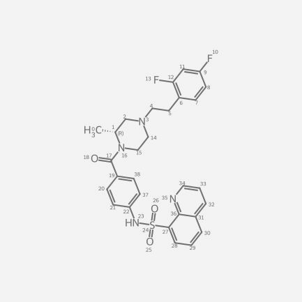 C[C@@H]1CN(CCc2ccc(F)cc2F)CCN1C(=O)c1ccc(NS(=O)(=O)c2cccc3cccnc23)cc1